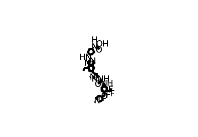 CCc1cc(-c2cc(NC(=O)Nc3ccc(OC4CCN(C)CC4)c(C(F)(F)F)c3)nn2C)cc2cnc(N[C@H]3CC[C@H](NC(=O)O)CC3)nc12